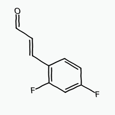 O=C/C=C/c1ccc(F)cc1F